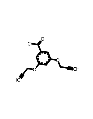 C#CCOc1cc(OCC#C)cc(C(=O)Cl)c1